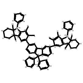 Cc1c(-c2ccc3c(c2)-c2cc(-c4cc5c(c(C)c4C)N(c4ccccc4)C4(C)CCCCC54C)ccc2C3(c2ccccc2)c2ccccc2)cc2c(c1C)N(c1ccccc1)C1(C)CCCCC21C